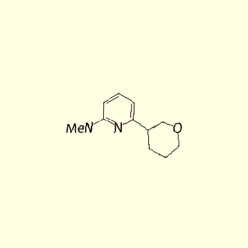 CNc1cccc(C2CCCOC2)n1